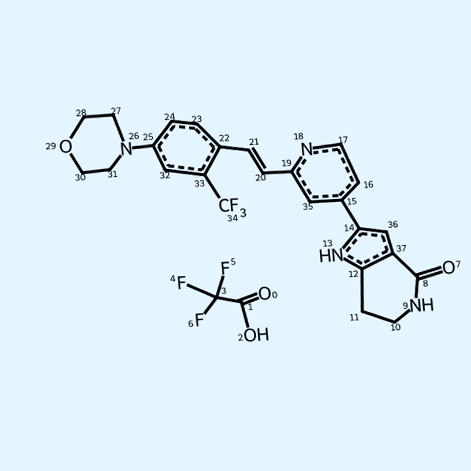 O=C(O)C(F)(F)F.O=C1NCCc2[nH]c(-c3ccnc(/C=C/c4ccc(N5CCOCC5)cc4C(F)(F)F)c3)cc21